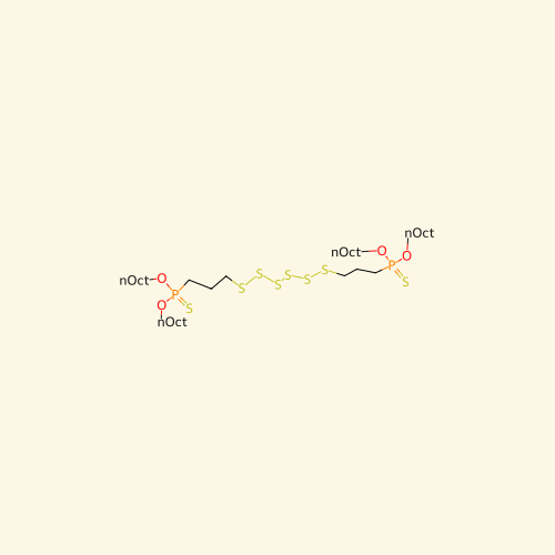 CCCCCCCCOP(=S)(CCCSSSSSSCCCP(=S)(OCCCCCCCC)OCCCCCCCC)OCCCCCCCC